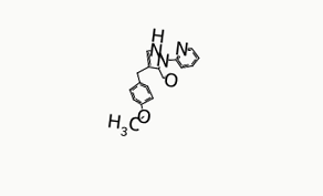 COc1ccc(CC2=CNN(c3ccccn3)C2C=O)cc1